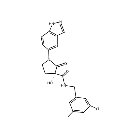 O=C(NCc1cc(F)cc(Cl)c1)[C@@]1(O)CCN(c2ccc3[nH]ncc3c2)C1=O